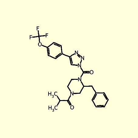 CC(C)C(=O)N1CCN(C(=O)n2cc(-c3ccc(OC(F)(F)F)cc3)nn2)C(Cc2ccccc2)C1